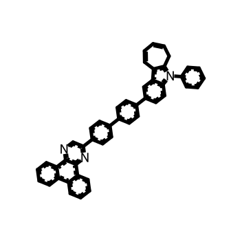 C1=CCc2c(c3cc(-c4ccc(-c5ccc(-c6cnc7c8ccccc8c8ccccc8c7n6)cc5)cc4)ccc3n2-c2ccccc2)C=C1